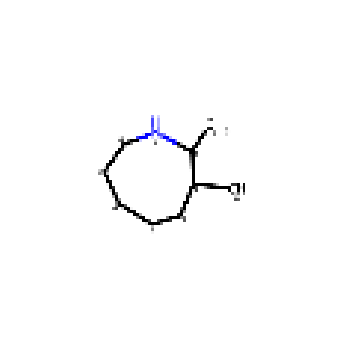 CC1CCCCCNC1C